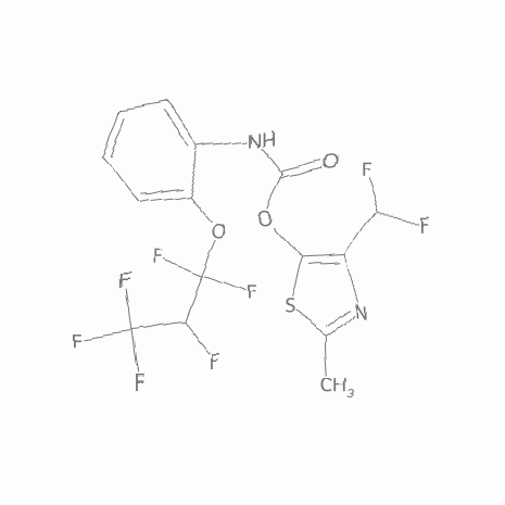 Cc1nc(C(F)F)c(OC(=O)Nc2ccccc2OC(F)(F)C(F)C(F)(F)F)s1